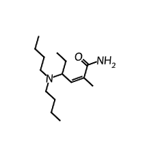 CCCCN(CCCC)C(C=C(C)C(N)=O)CC